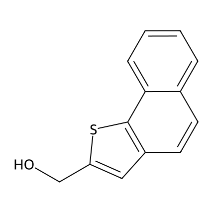 OCc1cc2ccc3ccccc3c2s1